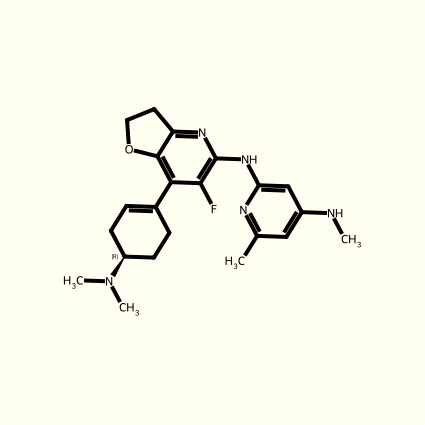 CNc1cc(C)nc(Nc2nc3c(c(C4=CC[C@H](N(C)C)CC4)c2F)OCC3)c1